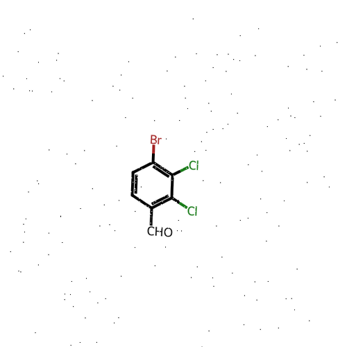 O=Cc1ccc(Br)c(Cl)c1Cl